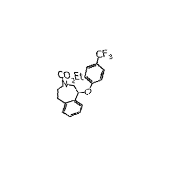 CCOC(=O)N1CCc2ccccc2C(Oc2ccc(C(F)(F)F)cc2)C1